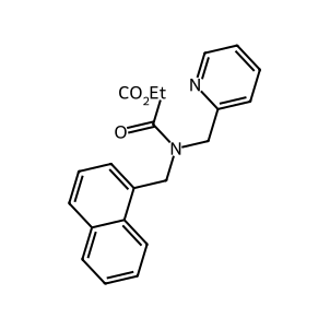 CCOC(=O)C(=O)N(Cc1ccccn1)Cc1cccc2ccccc12